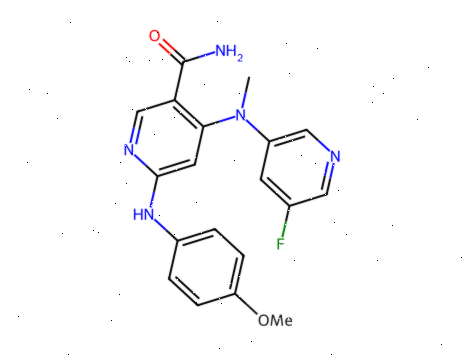 COc1ccc(Nc2cc(N(C)c3cncc(F)c3)c(C(N)=O)cn2)cc1